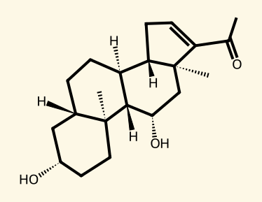 CC(=O)C1=CC[C@H]2[C@@H]3CC[C@H]4C[C@@H](O)CC[C@]4(C)[C@H]3[C@@H](O)C[C@]12C